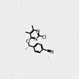 Cc1nc(Cl)nc(O[C@@H](C)c2ccc(C#N)cc2)c1C